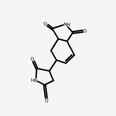 O=C1CC(C2C=CC3C(=O)NC(=O)C3C2)C(=O)N1